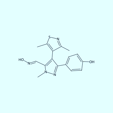 Cc1nsc(C)c1-c1c(-c2ccc(O)cc2)nn(C)c1C=NO